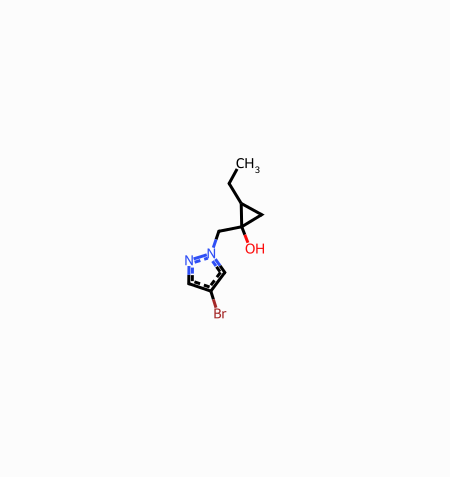 CCC1CC1(O)Cn1cc(Br)cn1